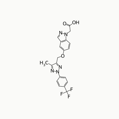 Cc1nn(-c2ccc(C(F)(F)F)cc2)nc1COc1ccc2c(cnn2CC(=O)O)c1